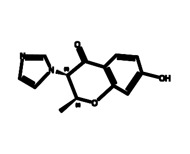 C[C@@H]1Oc2cc(O)ccc2C(=O)[C@H]1n1ccnc1